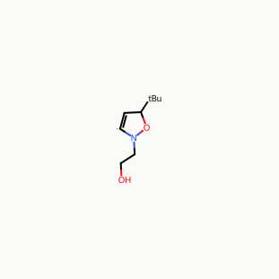 CC(C)(C)C1C=[C]N(CCO)O1